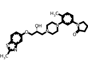 Cc1nc2cc(OC[C@H](O)CN3CCN(c4cc(N5CCCC5=O)ccc4C)CC3)ccc2s1